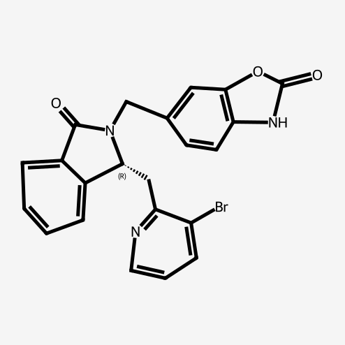 O=C1c2ccccc2[C@@H](Cc2ncccc2Br)N1Cc1ccc2[nH]c(=O)oc2c1